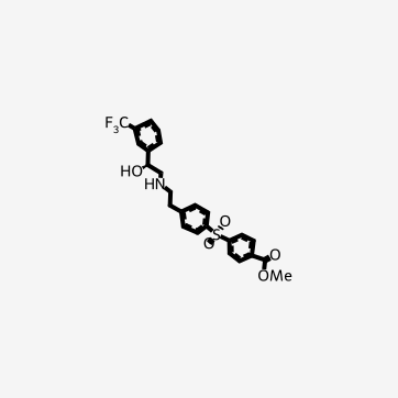 COC(=O)c1ccc(S(=O)(=O)c2ccc(CCNC[C@@H](O)c3cccc(C(F)(F)F)c3)cc2)cc1